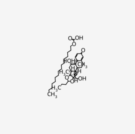 CCCC1O[C@@H]2C[C@H]3[C@@H]4CCC5=CC(=O)C=C[C@]5(C)[C@H]4[C@@H](O)C[C@]3(C)[C@]2(C(=O)CO)O1.CCCCCCCCCCCCCCCCOC(=O)O